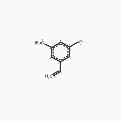 C=[C]c1cc(OCC(C)C)cc(C(C)C)c1